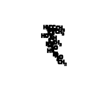 C=CC(=O)N1CC(NC(=O)c2cnc(CNc3cc(C(C)(C)C)c(C)cc3O)n2C)C1